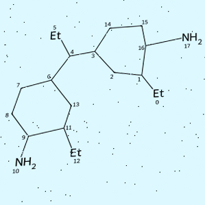 CCC1CC(C(CC)C2CCC(N)C(CC)C2)CCC1N